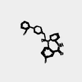 O=C1Nc2ccccc2N(C(=O)CN2CCN(c3ccccc3F)CC2)c2ccc(F)cc21